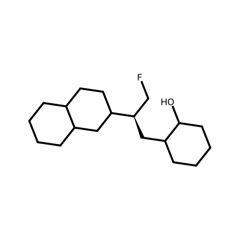 OC1CCCCC1C[C@H](CF)C1CCC2CCCCC2C1